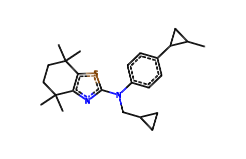 CC1CC1c1ccc(N(CC2CC2)c2nc3c(s2)C(C)(C)CCC3(C)C)cc1